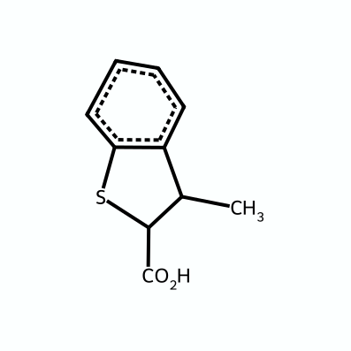 CC1c2ccccc2SC1C(=O)O